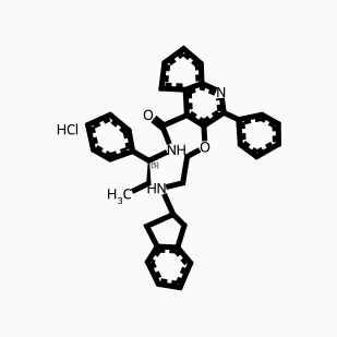 CC[C@H](NC(=O)c1c(OCCNC2Cc3ccccc3C2)c(-c2ccccc2)nc2ccccc12)c1ccccc1.Cl